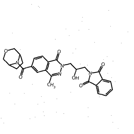 Cc1nn(CC(O)CN2C(=O)c3ccccc3C2=O)c(=O)c2ccc(C(=O)N3C4CCC3COC4)cc12